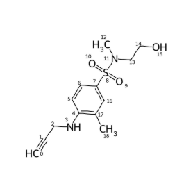 C#CCNc1ccc(S(=O)(=O)N(C)CCO)cc1C